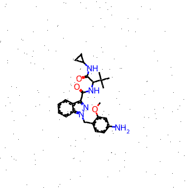 COc1cc(N)ccc1Cn1nc(C(=O)NC(C(=O)NC2CC2)C(C)(C)C)c2ccccc21